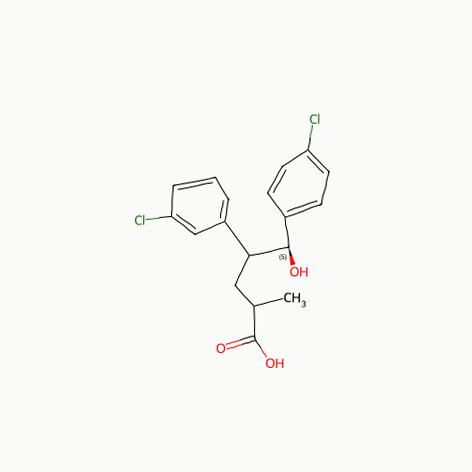 CC(CC(c1cccc(Cl)c1)[C@H](O)c1ccc(Cl)cc1)C(=O)O